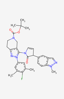 Cc1cc(-n2nc3c(c2N2C=CC(c4ccc5c(cnn5C)c4)C2=O)CN(C(=O)OC(C)(C)C)CC3)cc(C)c1F